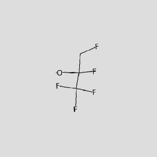 [O]C(F)(CF)C(F)(F)F